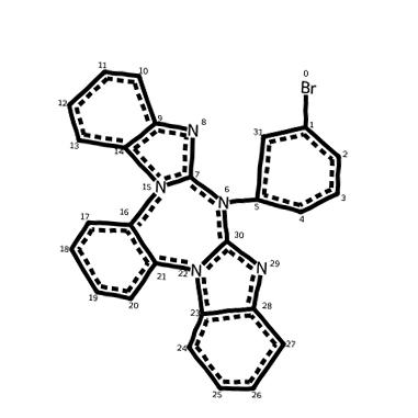 Brc1cccc(-n2c3nc4ccccc4n3c3ccccc3n3c4ccccc4nc23)c1